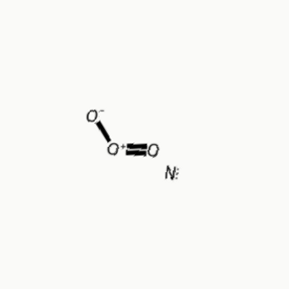 O=[O+][O-].[N]